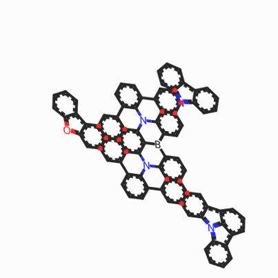 c1ccc(-c2cccc(-c3ccccc3)c2N2c3cc(-c4ccc5c(c4)c4cccc6c7ccccc7n5c64)ccc3B3c4ccc(-n5c6ccccc6c6ccccc65)cc4N(c4c(-c5ccccc5)cccc4-c4ccccc4)c4cc(-c5ccc6oc7ccccc7c6c5)cc2c43)cc1